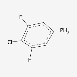 Fc1cccc(F)c1Cl.P